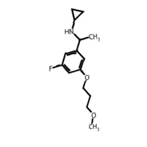 COCCCOc1cc(F)cc(C(C)NC2CC2)c1